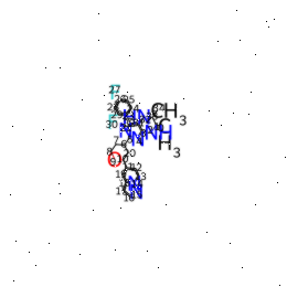 CC1Nc2nc(C3CCOC(c4ccn5nccc5c4)C3)nc(-c3ccc(F)cc3F)c2NC1C